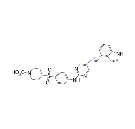 O=C(O)N1CCC(S(=O)(=O)c2ccc(Nc3ncc(/C=C/c4cccc5[nH]ccc45)cn3)cc2)CC1